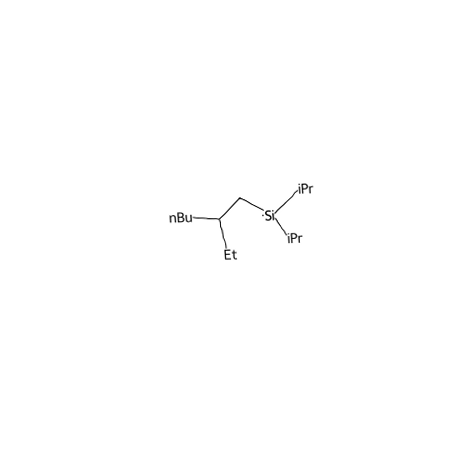 CCCCC(CC)C[Si](C(C)C)C(C)C